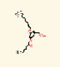 CCCCCCCCOc1cc(CO)cc(OCC(=O)CCCCC)c1